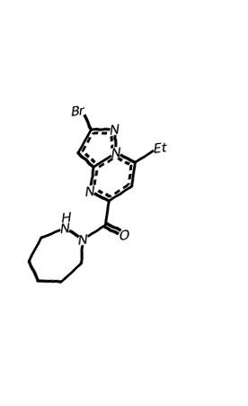 CCc1cc(C(=O)N2CCCCCN2)nc2cc(Br)nn12